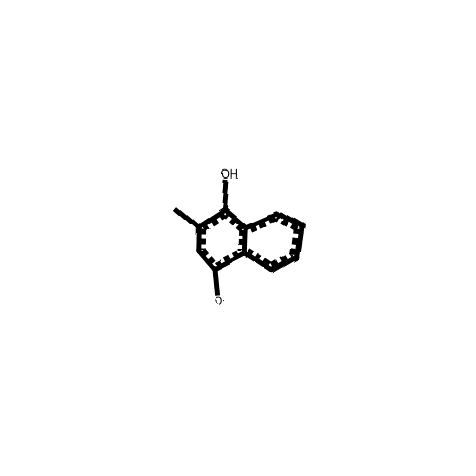 Cc1cc([O])c2ccccc2c1O